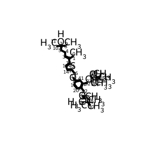 CCC(=CCCC(O)(CC)CC)c1ccc(COc2ccc(CO[Si](C)(C)C(C)(C)C)c(CO[Si](C)(C)C(C)(C)C)c2)s1